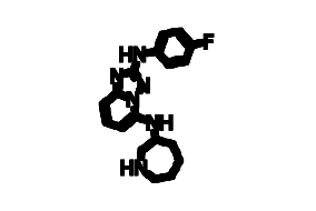 Fc1ccc(Nc2nc3cccc(NC4CCCCNC4)n3n2)cc1